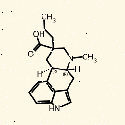 CCCC1(C(=O)O)C[C@@H]2c3cccc4[nH]cc(c34)C[C@H]2N(C)C1